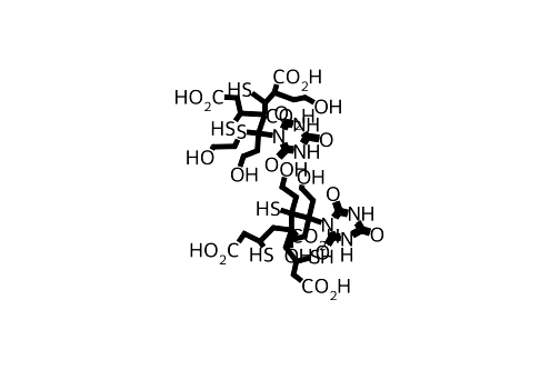 O=C(O)CC(S)C(C(=O)O)(C(S)C(CCO)C(=O)O)C(CCO)(SCCO)n1c(=O)[nH]c(=O)[nH]c1=O.O=C(O)CC(S)CC(CC(S)CC(=O)O)(C(=O)O)C(S)(CCO)C(CCO)(CCO)n1c(=O)[nH]c(=O)[nH]c1=O